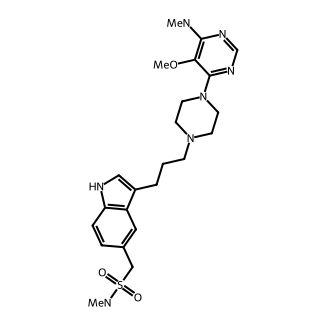 CNc1ncnc(N2CCN(CCCc3c[nH]c4ccc(CS(=O)(=O)NC)cc34)CC2)c1OC